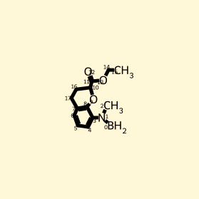 BN(C)c1cccc2c1OC(C(=O)OCC)CC2